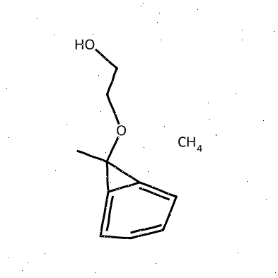 C.CC1(OCCO)c2ccccc21